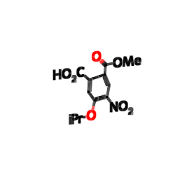 COC(=O)c1cc([N+](=O)[O-])c(OC(C)C)cc1C(=O)O